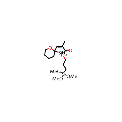 CO[Si](CCCOC(=O)C(C)=CC1([SiH3])CCCCO1)(OC)OC